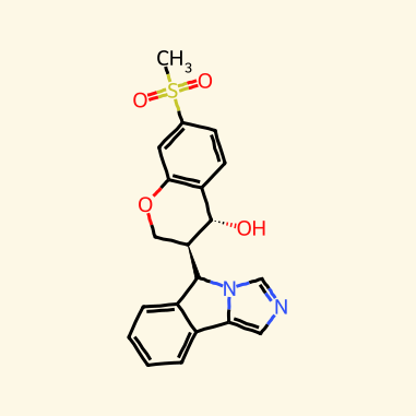 CS(=O)(=O)c1ccc2c(c1)OC[C@H](C1c3ccccc3-c3cncn31)[C@H]2O